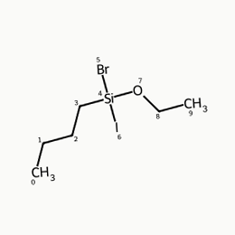 CCCC[Si](Br)(I)OCC